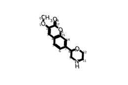 COc1cc2ccc(C3CNCCO3)cc2oc1=O